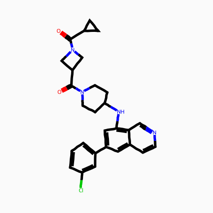 O=C(C1CN(C(=O)C2CC2)C1)N1CCC(Nc2cc(-c3cccc(Cl)c3)cc3ccncc23)CC1